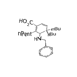 CCCCCC1=C(C(=O)O)C=CC(CCCC)(C(C)CC)C1NCc1ccccc1